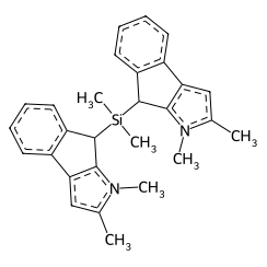 Cc1cc2c(n1C)C([Si](C)(C)C1c3ccccc3-c3cc(C)n(C)c31)c1ccccc1-2